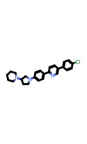 Clc1ccc(-c2ccc(-c3ccc(N4CCC(N5CCCCC5)C4)cc3)nc2)cc1